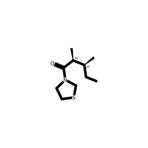 CC[C@H](C)[C@H](C)C(=O)N1CCSC1